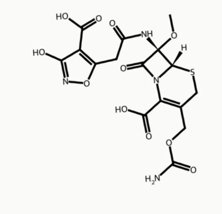 CO[C@@]1(NC(=O)Cc2onc(O)c2C(=O)O)C(=O)N2C(C(=O)O)=C(COC(N)=O)CS[C@H]21